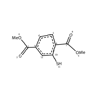 COC(=O)c1ccc(C(=O)OC)c(S)c1